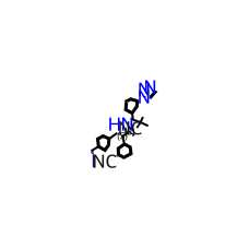 C[C@H](NC(c1cccc(-n2ccnn2)c1)C(C)(C)C#N)[C@@H](Cc1ccc(CI)cc1)c1cccc(C#N)c1